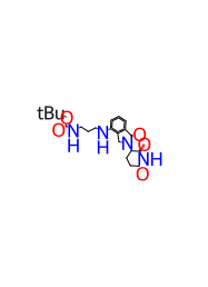 CC(C)(C)OC(=O)NCCCNc1cccc2c1CN(C1CCC(=O)NC1=O)C2=O